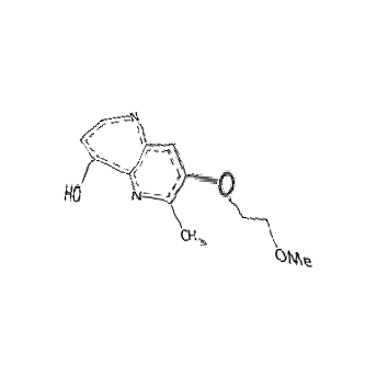 COCCOc1cc2nccc(O)c2nc1C